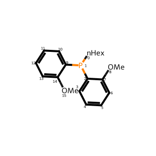 CCCCCCP(c1ccccc1OC)c1ccccc1OC